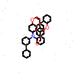 O=Cc1ccc2c(c1)Oc1ccccc1C21c2ccccc2Oc2ccc(N(c3cccc(-c4ccccc4)c3)c3ccccc3-c3ccccc3)cc21